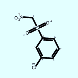 O=[N+]([O-])CS(=O)(=O)c1cccc(Cl)c1